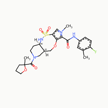 Cc1cc(NC(=O)c2c3c(cn2C)S(=O)(=O)N[C@@H]2CCN(C(=O)C4(C)CCCO4)C[C@@H]2CO3)ccc1F